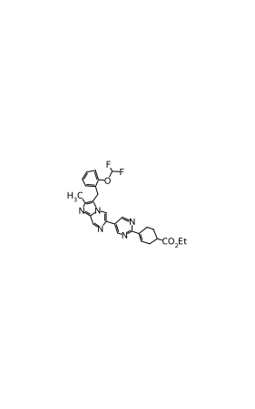 CCOC(=O)C1CC=C(c2ncc(-c3cn4c(Cc5ccccc5OC(F)F)c(C)nc4cn3)cn2)CC1